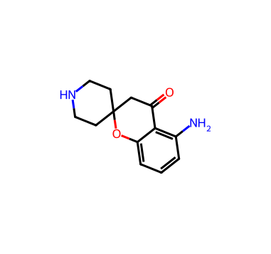 Nc1cccc2c1C(=O)CC1(CCNCC1)O2